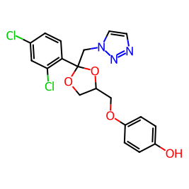 Oc1ccc(OCC2COC(Cn3ccnn3)(c3ccc(Cl)cc3Cl)O2)cc1